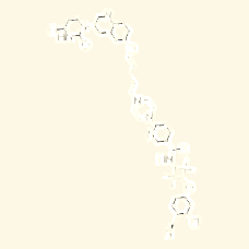 CC1(C)[C@H](NC(=O)c2ccc(N3CCN(CCCCCOc4ccc5ncc(-n6ccc(=O)[nH]c6=O)cc5c4)CC3)nc2)C(C)(C)[C@H]1Oc1ccc(C#N)c(Cl)c1